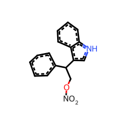 O=[N+]([O-])OCC(c1ccccc1)c1c[nH]c2ccccc12